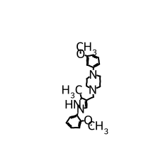 COc1cccc(N2CCN(CC3=CN(c4ccccc4OC)NC3C)CC2)c1